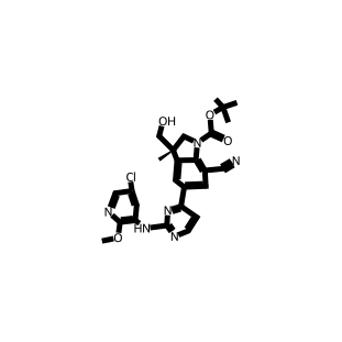 COc1ncc(Cl)cc1Nc1nccc(-c2cc(C#N)c3c(c2)[C@](C)(CO)CN3C(=O)OC(C)(C)C)n1